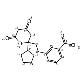 CC(=O)c1cccc(CCC2(C3CCCC3)CC(=O)CC(=O)O2)c1